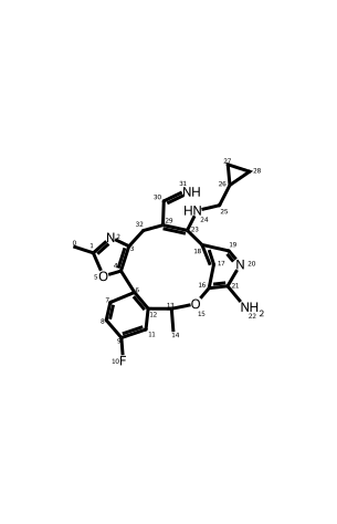 Cc1nc2c(o1)-c1ccc(F)cc1C(C)Oc1cc(cnc1N)/C(NCC1CC1)=C(/C=N)C2